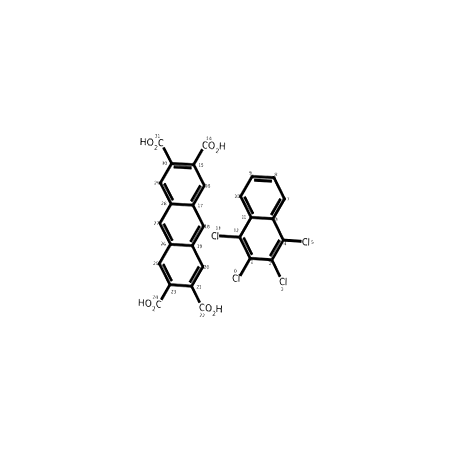 Clc1c(Cl)c(Cl)c2ccccc2c1Cl.O=C(O)c1cc2cc3cc(C(=O)O)c(C(=O)O)cc3cc2cc1C(=O)O